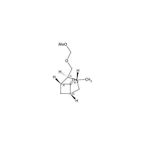 C=C1[C@@H]2C[C@@H](C)[C@H](COCOC)[C@H]1C2